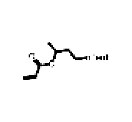 C=CC(=O)OC(C)CCCCCCC